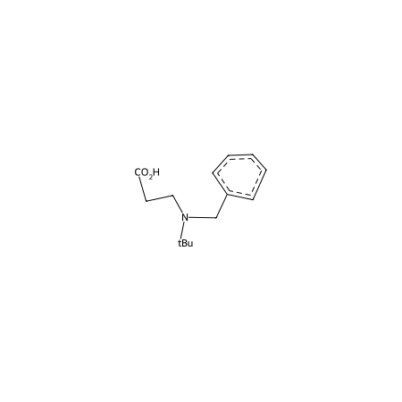 CC(C)(C)N(CCC(=O)O)Cc1ccccc1